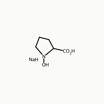 O=C(O)C1CCCN1O.[NaH]